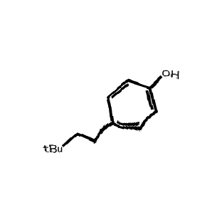 CC(C)(C)CCc1ccc(O)cc1